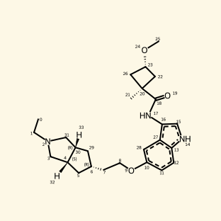 CCN1C[C@H]2C[C@@H](CCOc3ccc4[nH]cc(NC(=O)[C@]5(C)C[C@@H](OC)C5)c4c3)C[C@H]2C1